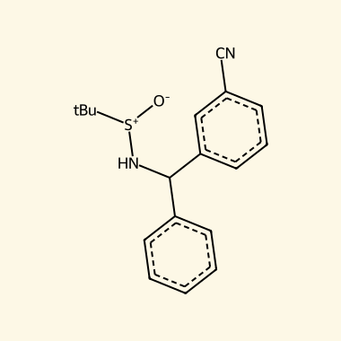 CC(C)(C)[S+]([O-])NC(c1ccccc1)c1cccc(C#N)c1